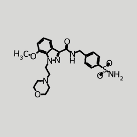 COc1cccc2c(C(=O)NCc3ccc(S(N)(=O)=O)cc3)nn(CCN3CCOCC3)c12